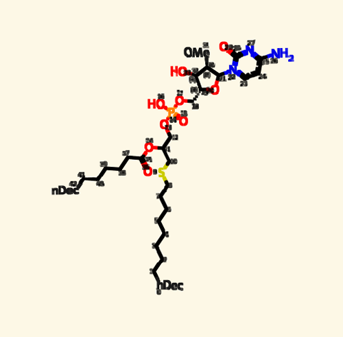 CCCCCCCCCCCCCCCCCCSCC(COP(=O)(O)OC[C@H]1OC(n2ccc(N)nc2=O)[C@H](OC)[C@@H]1O)OC(=O)CCCCCCCCCCCCCCC